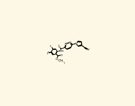 COC(=O)c1cc(F)c(F)cc1NC(=O)c1ccc(-n2ccc(C#N)c2)nn1